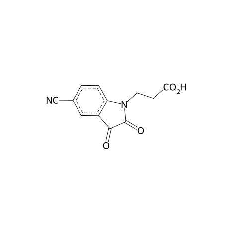 N#Cc1ccc2c(c1)C(=O)C(=O)N2CCC(=O)O